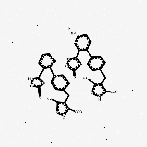 CCCCc1n[nH]c(C(=O)[O-])c1Cc1ccc(-c2ccccc2-c2nc(=O)o[nH]2)cc1.CCCCc1n[nH]c(C(=O)[O-])c1Cc1ccc(-c2ccccc2-c2nc(=O)o[nH]2)cc1.[Na+].[Na+]